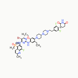 CCOc1cc(N2CCC(N3CCN(CCc4cc(F)c([C@H]5CCC(=O)NC5=O)c(F)c4)CC3)CC2)c(CC)cc1Nc1ncc(Br)c(Nc2cc(F)c3nc(C)ccc3c2P(C)(C)=O)n1